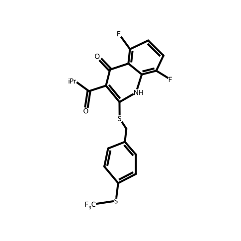 CC(C)C(=O)c1c(SCc2ccc(SC(F)(F)F)cc2)[nH]c2c(F)ccc(F)c2c1=O